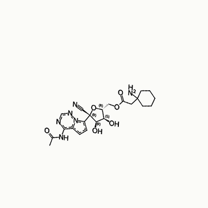 CC(=O)Nc1ncnn2c([C@]3(C#N)O[C@H](COC(=O)CC4(N)CCCCC4)[C@@H](O)[C@H]3O)ccc12